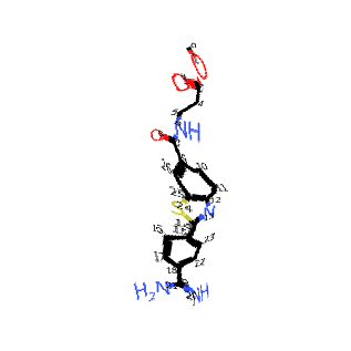 COC(=O)CCNC(=O)c1ccc2nc(-c3ccc(C(=N)N)cc3)sc2c1